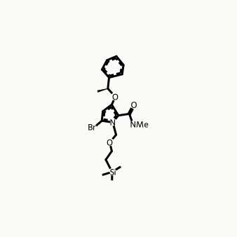 CNC(=O)c1c(O[C@@H](C)c2ccccc2)cc(Br)n1COCC[Si](C)(C)C